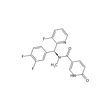 CN(C(=O)c1ccc(=O)[nH]c1)[C@@H](c1ccc(F)c(F)c1)c1ncccc1F